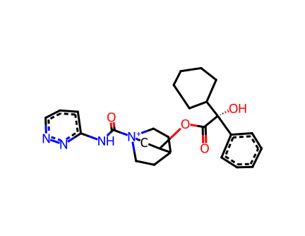 O=C(OC1C[N+]2(C(=O)Nc3cccnn3)CCC1CC2)[C@](O)(c1ccccc1)C1CCCCC1